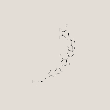 C=CCCc1ccc2cc(-c3cc(F)c(-c4ccc5nc(C(F)(F)Oc6cc(F)c(F)c(F)c6)sc5c4)c(F)c3)ccc2c1